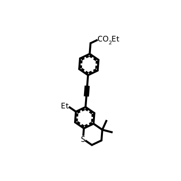 CCOC(=O)Cc1ccc(C#Cc2cc3c(cc2CC)SCCC3(C)C)cc1